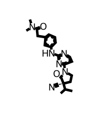 CC(C)[C@]1(C#N)CCN(c2ccnc(Nc3cccc(CC(=O)N(C)C)c3)n2)C1=O